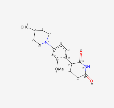 COc1cc(N2CCC(C=O)CC2)ccc1C1CCC(=O)NC1=O